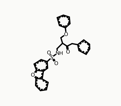 O=C(Cc1ccccc1)C(CNS(=O)(=O)c1ccc2oc3ccccc3c2c1)COc1ccccc1